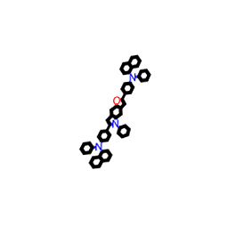 c1ccc(N(c2ccc(-c3cc4cc5c(cc(-c6ccc(N(c7ccccc7)c7cccc8ccccc78)cc6)n5-c5ccccc5)cc4o3)cc2)c2cccc3ccccc23)cc1